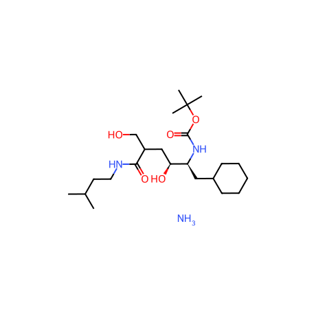 CC(C)CCNC(=O)C(CO)C[C@H](O)[C@H](CC1CCCCC1)NC(=O)OC(C)(C)C.N